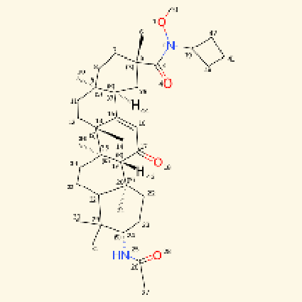 CON(C(=O)[C@@]1(C)CC[C@]2(C)CC[C@]3(C)C(=CC(=O)[C@@H]4[C@@]5(C)CC[C@H](NC(C)=O)C(C)(C)C5CC[C@]43C)[C@@H]2C1)C1CCC1